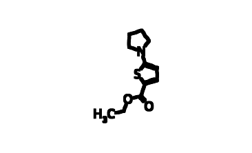 CCOC(=O)c1ccc(N2CCCC2)s1